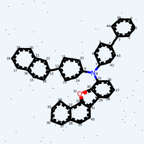 c1ccc(-c2ccc(N(c3ccc(-c4ccc5ccccc5c4)cc3)c3cccc4c3oc3c5ccccc5ccc43)cc2)cc1